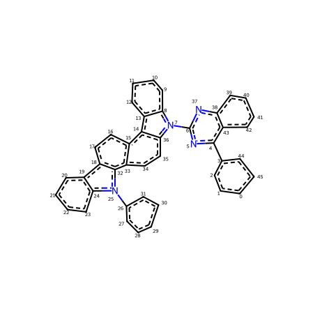 c1ccc(-c2nc(-n3c4ccccc4c4c5ccc6c7ccccc7n(-c7ccccc7)c6c5ccc43)nc3ccccc23)cc1